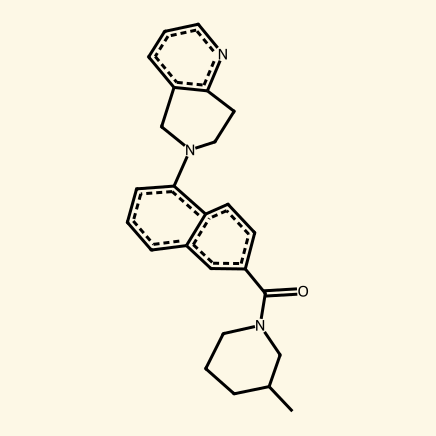 CC1CCCN(C(=O)c2ccc3c(N4CCc5ncccc5C4)cccc3c2)C1